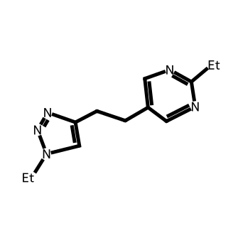 CCc1ncc(CCc2cn(CC)nn2)cn1